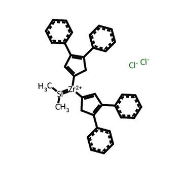 C[Si](C)=[Zr+2]([C]1=CC(c2ccccc2)=C(c2ccccc2)C1)[C]1=CC(c2ccccc2)=C(c2ccccc2)C1.[Cl-].[Cl-]